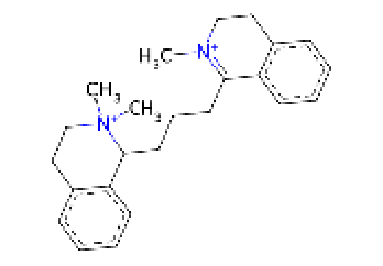 C[N+]1=C(CCCC2c3ccccc3CC[N+]2(C)C)c2ccccc2CC1